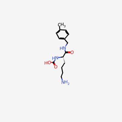 Cc1ccc(CNC(=O)[C@H](CCCCN)NC(=O)O)cc1